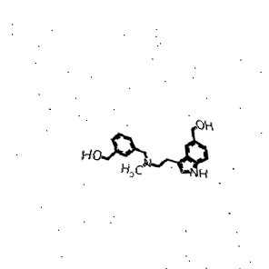 CN(CCc1c[nH]c2ccc(CO)cc12)Cc1cccc(CO)c1